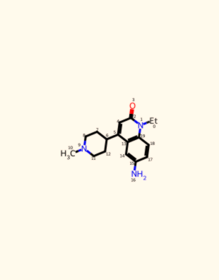 CCn1c(=O)cc(C2CCN(C)CC2)c2cc(N)ccc21